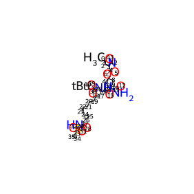 Cc1cc(C(=O)O[C@@H]2C[C@@H](C(N)=O)N(C(=O)[C@H](CCCCC/C=C\[C@@H]3C[C@@H]3C(=O)NS(=O)(=O)C3CC3)NC(=O)OC(C)(C)C)C2)no1